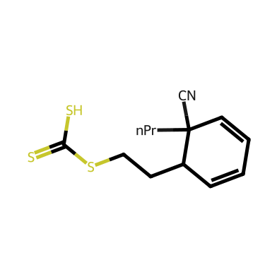 CCCC1(C#N)C=CC=CC1CCSC(=S)S